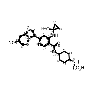 CC1(Nc2cc(-c3cnc4cc(C#N)cnn34)ncc2C(=O)NC2CCC(NC(=O)O)CC2)CC1